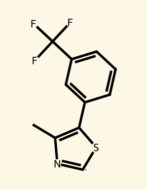 Cc1n[c]sc1-c1cccc(C(F)(F)F)c1